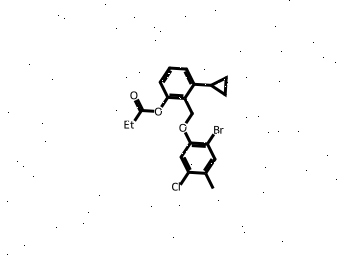 CCC(=O)Oc1cccc(C2CC2)c1COc1cc(Cl)c(C)cc1Br